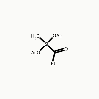 CCC(=O)[Si](C)(OC(C)=O)OC(C)=O